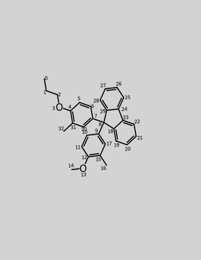 CCCOc1ccc(C2(c3ccc(OC)c(C)c3)c3ccccc3-c3ccccc32)cc1C